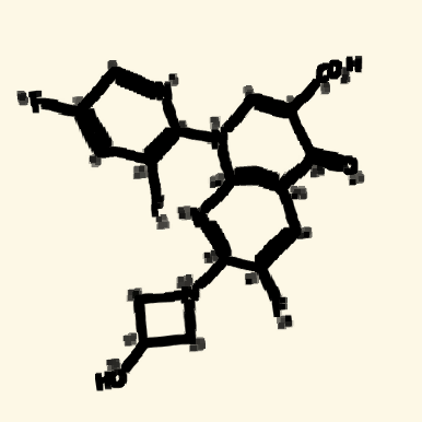 O=C(O)c1cn(-c2ncc(F)cc2F)c2nc(N3CC(O)C3)c(F)cc2c1=O